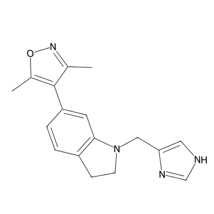 Cc1noc(C)c1-c1ccc2c(c1)N(Cc1c[nH]cn1)CC2